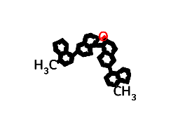 Cc1ccc(-c2ccc3c(ccc4oc5ccc6cc(-c7ccc(C)c8ccccc78)ccc6c5c43)c2)c2ccccc12